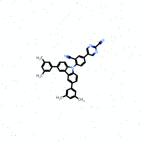 Cc1cc(C)cc(-c2ccc3c(c2)c2cc(-c4cc(C)cc(C)c4)ccc2n3-c2ccc(-c3cnc(C#N)nc3)cc2C#N)c1